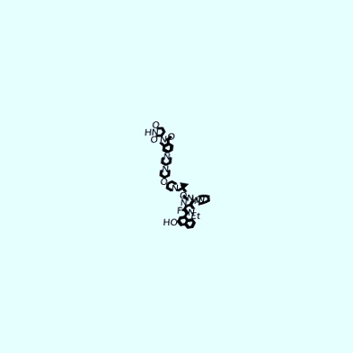 CCc1cccc2cc(O)cc(-c3ncc4c(N5CC6CCC(C5)N6)nc(OCC5(CN6CCC(OC7CCN(C8CCN(c9ccc%10c(c9)CN([C@H]9CCC(=O)NC9=O)C%10=O)CC8)CC7)CC6)CC5)nc4c3F)c12